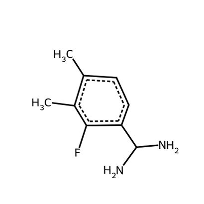 Cc1ccc(C(N)N)c(F)c1C